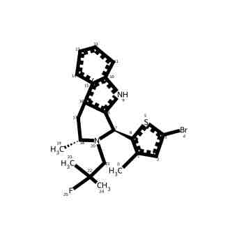 Cc1cc(Br)sc1[C@@H]1c2[nH]c3ccccc3c2C[C@@H](C)N1CC(C)(C)F